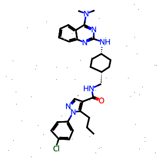 CCCc1c(C(=O)NC[C@H]2CC[C@@H](Nc3nc(N(C)C)c4ccccc4n3)CC2)cnn1-c1ccc(Cl)cc1